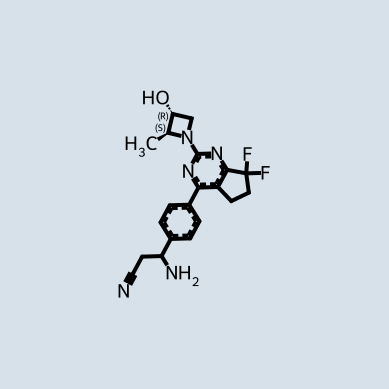 C[C@H]1[C@H](O)CN1c1nc(-c2ccc(C(N)CC#N)cc2)c2c(n1)C(F)(F)CC2